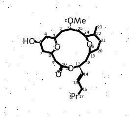 CO[C@H]1CC2C[C@H](O)CC(CC(=O)O[C@H](/C=C/CC(C)C)CC3CCC(C)C(C1)O3)O2